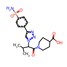 CC(C)C(C(=O)N1CCC(C(=O)O)CC1)n1cc(-c2ccc(S(N)(=O)=O)cc2)nn1